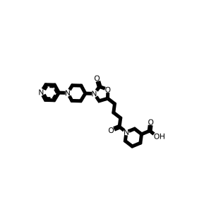 O=C(O)C1CCCN(C(=O)CCCC2CN(C3CCN(c4ccncc4)CC3)C(=O)O2)C1